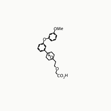 COc1cccc(Oc2cccc(C34CCC(CCOCC(=O)O)(CC3)OC4)c2)c1